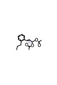 CCCc1ccccc1/C=C/C(OC(C)=O)OC(C)=O